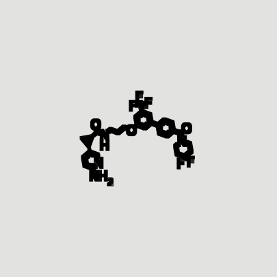 Nc1ccc([C@@H]2C[C@H]2C(=O)NCCCOc2cc(-c3ccc(C(=O)N4CCC(F)(F)CC4)cc3)cc(C(F)(F)F)c2)cn1